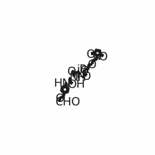 CC(C)C(NC(=O)OCCOCCN1C(=O)C=CC1=O)C(=O)NCC(=O)Nc1ccc(COC=O)cc1